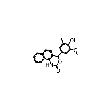 COc1cc(C2OC(=O)Nc3c2ccc2ccccc32)cc(C)c1O